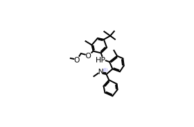 C/N=C(\c1ccccc1)c1cccc(C)c1Pc1cc(C(C)(C)C)cc(C)c1OCOC